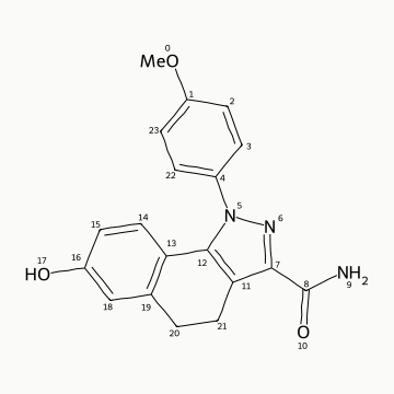 COc1ccc(-n2nc(C(N)=O)c3c2-c2ccc(O)cc2CC3)cc1